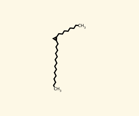 CCCCCCCCCCCCCCCC1=C(CCCCCCCC)C1